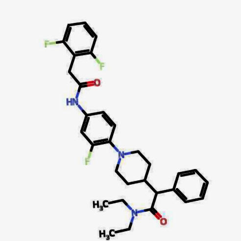 CCN(CC)C(=O)C(c1ccccc1)C1CCN(c2ccc(NC(=O)Cc3c(F)cccc3F)cc2F)CC1